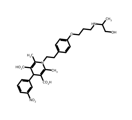 CC1=C(C(=O)O)C(c2cccc([N+](=O)[O-])c2)C(C(=O)O)=C(C)N1CCc1ccc(OCCCNC(C)CO)cc1